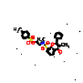 Cc1ccc(S(=O)(=O)OCCN(C)S(=O)(=O)c2cccc3c(=O)c(C)c(-c4ccccc4)oc23)cc1